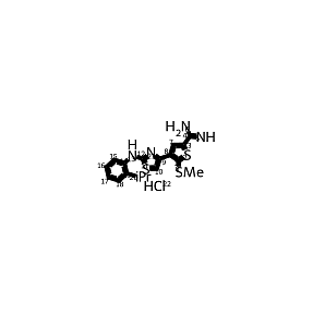 CSc1sc(C(=N)N)cc1-c1csc(Nc2ccccc2C(C)C)n1.Cl